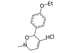 CCOc1ccc(C2ON(C)CC=C2C)cc1.Cl